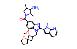 COc1cc(C(=O)N2CC(C)C(N)C2C)cc2nc(-c3cc4cccnc4n3C)n(CC3CC4(CCCO4)C3)c12